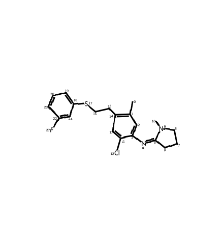 Cc1cc(N=C2CCCN2C)c(Cl)cc1CCSc1cccc(F)c1